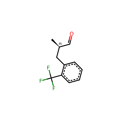 C[C@@H](C=O)Cc1ccccc1C(F)(F)F